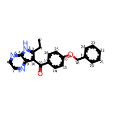 CCc1[nH]c2nccnc2c1C(=O)c1ccc(OCc2ccccc2)cc1